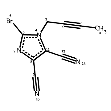 CC#CCn1c(Br)nc(C#N)c1C#N